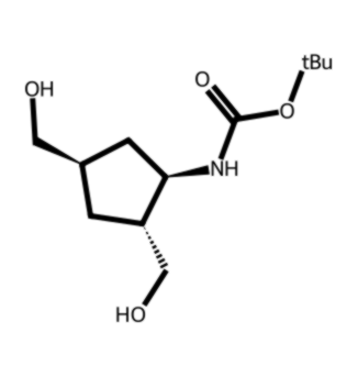 CC(C)(C)OC(=O)N[C@@H]1C[C@H](CO)C[C@H]1CO